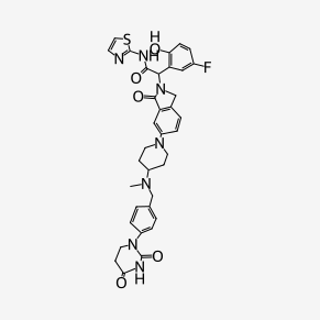 CN(Cc1ccc(N2CCC(=O)NC2=O)cc1)C1CCN(c2ccc3c(c2)C(=O)N(C(C(=O)Nc2nccs2)c2cc(F)ccc2O)C3)CC1